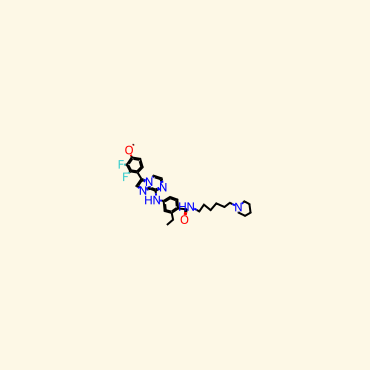 CCc1cc(Nc2nccn3c(-c4ccc(OC)c(F)c4F)cnc23)ccc1C(=O)NCCCCCCN1CCCCC1